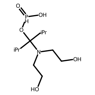 CC(C)C(O[PH](=O)O)(C(C)C)N(CCO)CCO